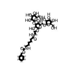 O=C(CCCCCNC(=O)OCc1ccccc1)NCCO[C@H]1O[C@H](CO[C@H]2O[C@H](CO)[C@@H](O)[C@H](O)[C@@H]2O)[C@@H](O)[C@H](O[C@H]2O[C@H](CO)[C@@H](O)[C@H](O)[C@@H]2O)[C@@H]1O